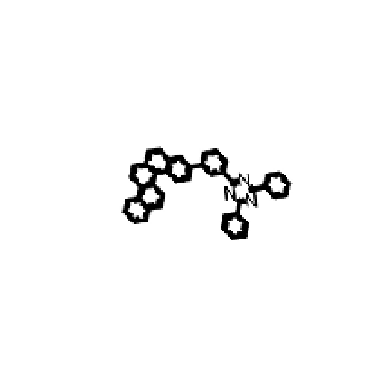 c1ccc(-c2nc(-c3ccccc3)nc(-c3cccc(-c4ccc5c(ccc6ccc7c8ccccc8ccc7c65)c4)c3)n2)cc1